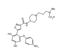 CC(C)(C)N(CCCN1CCC(NC(=O)c2cc(-c3c(O)cc(O)cc3Oc3ccc([N+](=O)[O-])cc3)on2)CC1)C(=O)O